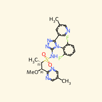 CO[C@H](c1ncc(C)cn1)[C@H](C)S(=O)(=O)Nc1nnc(-c2cncc(C)c2)n1-c1c(F)cccc1F